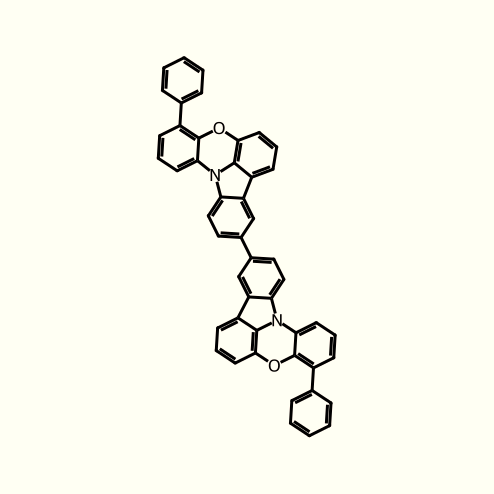 c1ccc(-c2cccc3c2Oc2cccc4c5cc(-c6ccc7c(c6)c6cccc8c6n7-c6cccc(-c7ccccc7)c6O8)ccc5n-3c24)cc1